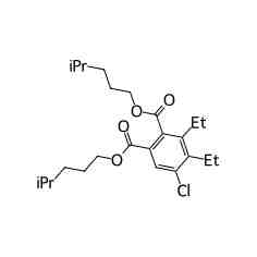 CCc1c(Cl)cc(C(=O)OCCCC(C)C)c(C(=O)OCCCC(C)C)c1CC